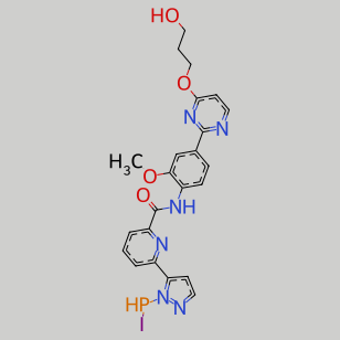 COc1cc(-c2nccc(OCCCO)n2)ccc1NC(=O)c1cccc(-c2ccnn2PI)n1